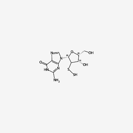 Nc1nc2c(ncn2[C@@H]2O[C@H](CO)[C@H](O)C2SS)c(=O)[nH]1